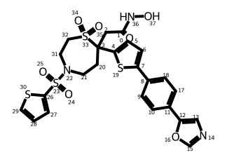 O=C(CC1(c2ccc(-c3ccc(-c4cnco4)cc3)s2)CCN(S(=O)(=O)c2cccs2)CCS1(=O)=O)NO